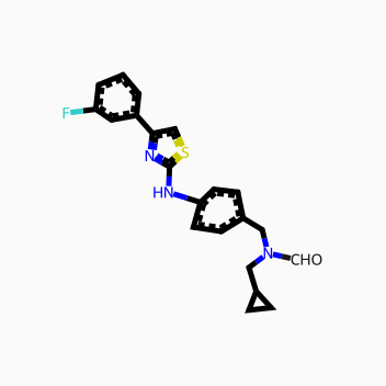 O=CN(Cc1ccc(Nc2nc(-c3cccc(F)c3)cs2)cc1)CC1CC1